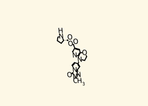 Cn1nc2cc(N3CCOc4cc(C(=O)OC(=O)[C@@H]5CCCN5)cnc43)ccn2c1=O